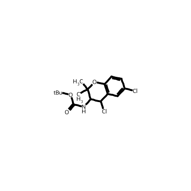 CC(C)(C)OC(=O)NC1C(Cl)c2cc(Cl)ccc2OC1(C)C